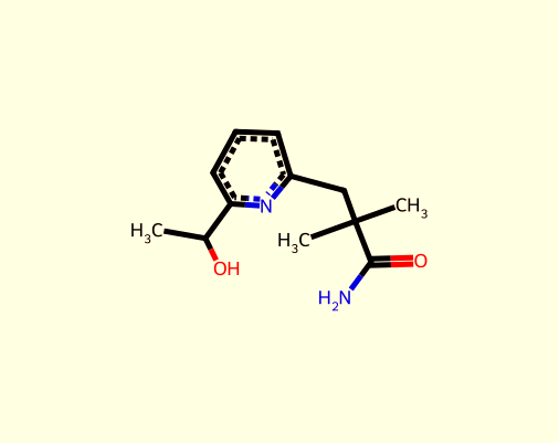 CC(O)c1cccc(CC(C)(C)C(N)=O)n1